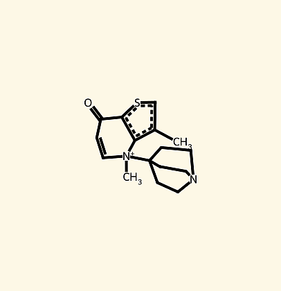 Cc1csc2c1[N+](C)(C13CCN(CC1)CC3)C=CC2=O